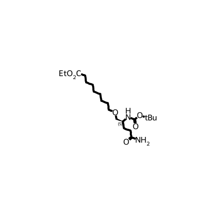 CCOC(=O)CCCCCCCCOC[C@H](CCC(N)=O)NC(=O)OC(C)(C)C